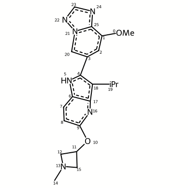 COc1cc(-c2[nH]c3ccc(OC4CN(C)C4)nc3c2C(C)C)cn2ncnc12